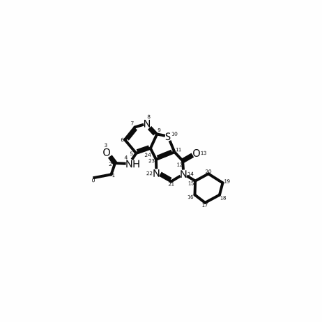 CCC(=O)Nc1ccnc2sc3c(=O)n(C4CCCCC4)cnc3c12